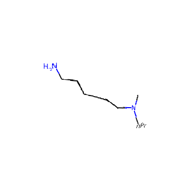 CCCN(C)CCCCCN